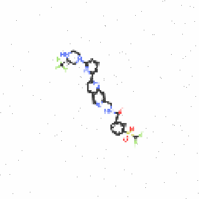 O=C(NCc1cc2nc(-c3cccc(N4CCN[C@H](C(F)(F)F)C4)n3)ccc2cn1)c1cccc(S(=O)(=O)C(F)F)c1